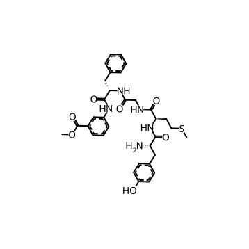 COC(=O)c1cccc(NC(=O)[C@H](Cc2ccccc2)NC(=O)CNC(=O)[C@@H](CCSC)NC(=O)[C@@H](N)Cc2ccc(O)cc2)c1